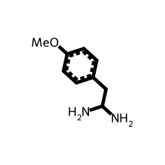 COc1ccc(CC(N)N)cc1